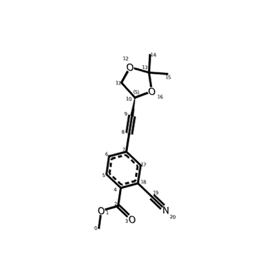 COC(=O)c1ccc(C#C[C@H]2COC(C)(C)O2)cc1C#N